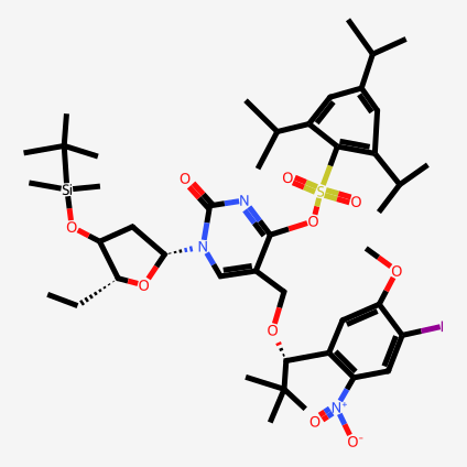 CC[C@H]1O[C@@H](n2cc(CO[C@H](c3cc(OC)c(I)cc3[N+](=O)[O-])C(C)(C)C)c(OS(=O)(=O)c3c(C(C)C)cc(C(C)C)cc3C(C)C)nc2=O)CC1O[Si](C)(C)C(C)(C)C